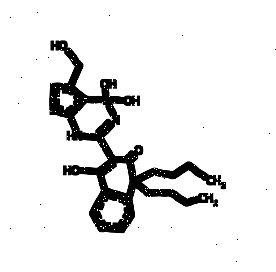 CCCCC1(CCCC)C(=O)C(C2=NS(O)(O)c3c(CO)csc3N2)=C(O)c2ccccc21